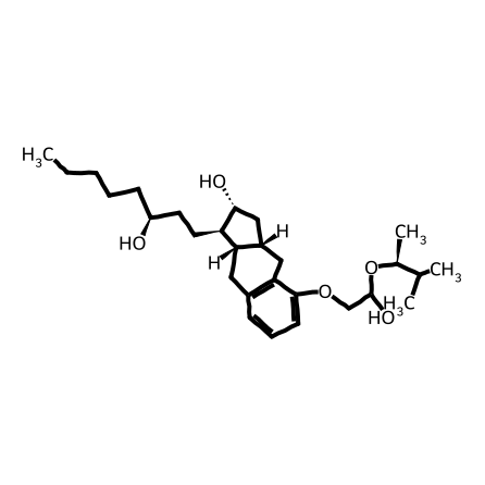 CCCCC[C@H](O)CC[C@@H]1[C@H]2Cc3cccc(OCC(O)O[C@@H](C)C(C)C)c3C[C@H]2C[C@H]1O